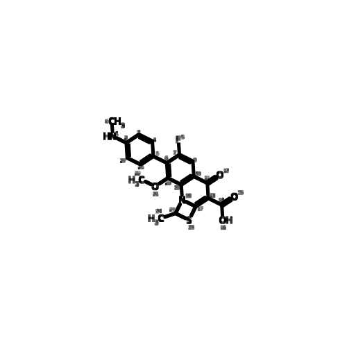 CNc1ccc(-c2c(F)cc3c(=O)c(C(=O)O)c4n(c3c2OC)C(C)S4)cc1